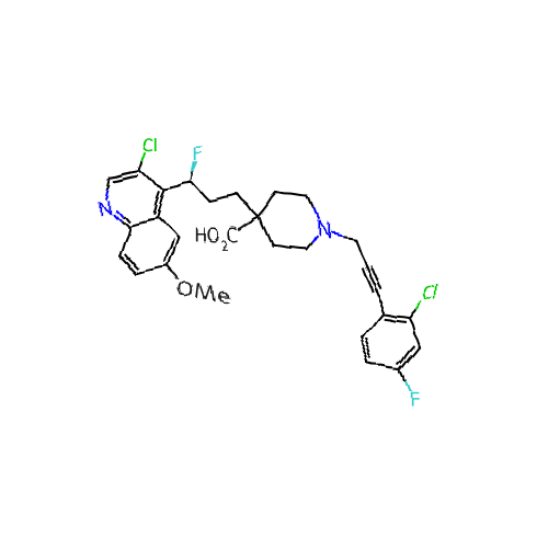 COc1ccc2ncc(Cl)c([C@@H](F)CCC3(C(=O)O)CCN(CC#Cc4ccc(F)cc4Cl)CC3)c2c1